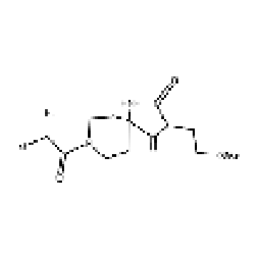 CCC(CC)C(=O)N1CCC2(CC1)NC(=O)C(CCSC)N2